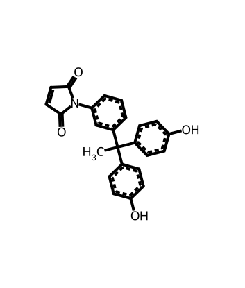 CC(c1ccc(O)cc1)(c1ccc(O)cc1)c1cccc(N2C(=O)C=CC2=O)c1